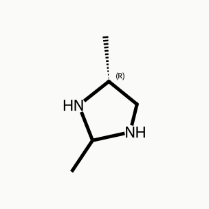 CC1NC[C@@H](C)N1